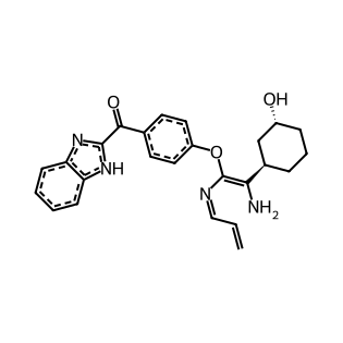 C=C/C=N\C(Oc1ccc(C(=O)c2nc3ccccc3[nH]2)cc1)=C(/N)[C@@H]1CCC[C@@H](O)C1